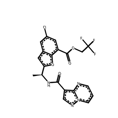 C[C@H](NC(=O)c1cnn2cccnc12)c1cc2cc(Cl)cc(C(=O)OCC(F)(F)F)c2o1